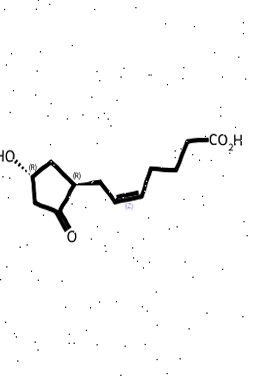 O=C(O)CCC/C=C\C[C@@H]1C[C@@H](O)CC1=O